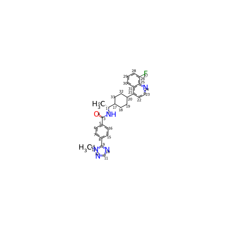 C[C@@H](NC(=O)c1ccc(-c2ncnn2C)cc1)C1CCC(c2ccnc3c(F)cccc23)CC1